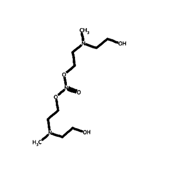 CN(CCO)CCO[N+](=O)OCCN(C)CCO